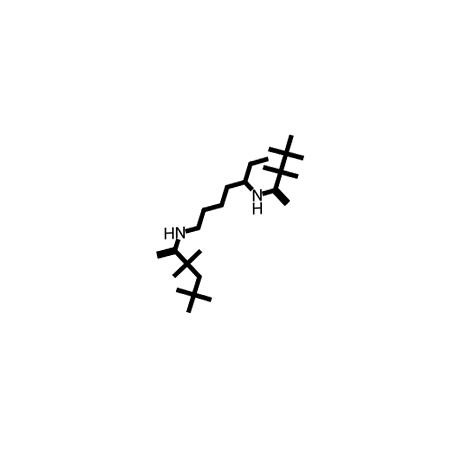 C=C(NCCCCC(CC)NC(=C)C(C)(C)C(C)(C)C)C(C)(C)CC(C)(C)C